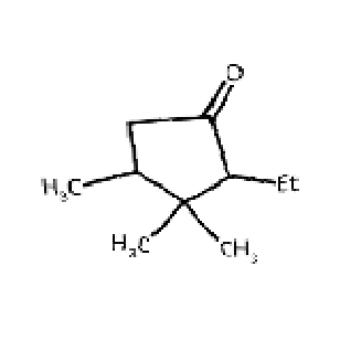 CCC1C(=O)CC(C)C1(C)C